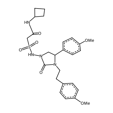 COc1ccc(CCN2C(=O)N(NS(=O)(=O)CC(=O)NC3CCC3)CC2c2ccc(OC)cc2)cc1